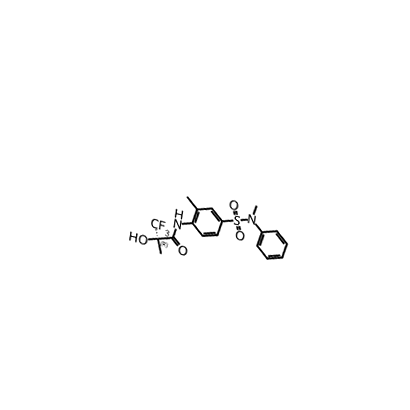 Cc1cc(S(=O)(=O)N(C)c2ccccc2)ccc1NC(=O)[C@@](C)(O)C(F)(F)F